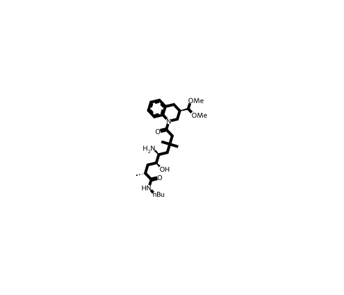 CCCCNC(=O)[C@H](C)C[C@H](O)[C@@H](N)CC(C)(C)CC(=O)N1C[C@H](C(OC)OC)Cc2ccccc21